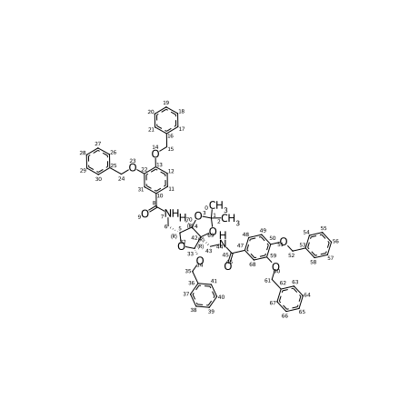 CC1(C)O[C@@H]2[C@@H](CNC(=O)c3ccc(OCc4ccccc4)c(OCc4ccccc4)c3)O[C@@H](OCc3ccccc3)[C@]2(CNC(=O)c2ccc(OCc3ccccc3)c(OCc3ccccc3)c2)O1